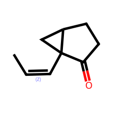 C/C=C\C12CC1CCC2=O